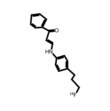 O=C(C=CNc1ccc(CCC[18F])cc1)c1ccccc1